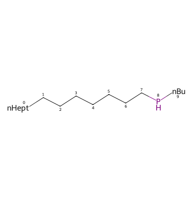 CCCCCCCCCCCCCCPCCCC